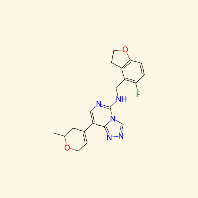 CC1CC(c2cnc(NCc3c(F)ccc4c3CCO4)n3cnnc23)=CCO1